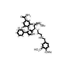 CC[C@H](C)O.COc1ccc(CNCCC[C@@H](CN)c2[nH]cc(-c3ccccc3)[n+]2-c2c(C)cc(C(N)=O)cc2C)cc1C(=O)O